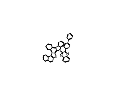 c1ccc(-c2ccc(-c3nc4ccccc4nc3-n3c4ccccc4c4c5ccccc5c5c(sc6ccc7ccccc7c65)c43)cc2)cc1